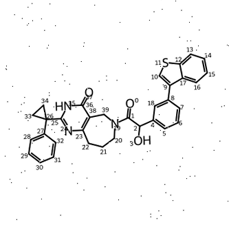 O=C(C(O)c1cccc(-c2csc3ccccc23)c1)N1CCCc2nc(C3(c4ccccc4)CC3)[nH]c(=O)c2C1